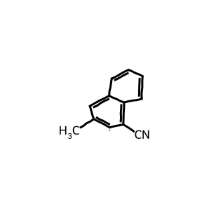 Cc1[c]c(C#N)c2ccccc2c1